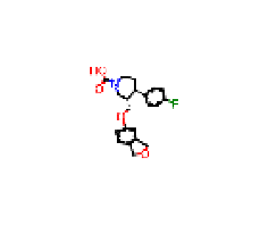 O=C(O)N1CC[C@@H](c2ccc(F)cc2)[C@H](COc2ccc3c(c2)COC3)C1